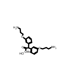 COC(=O)C(c1cccc(OCCCN)c1)c1cccc(OCCCN)c1.Cl